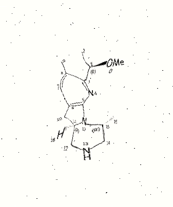 CO[C@H](C)c1nc2c(cc1C)C[C@@H]1CNC[C@@H](C)N21